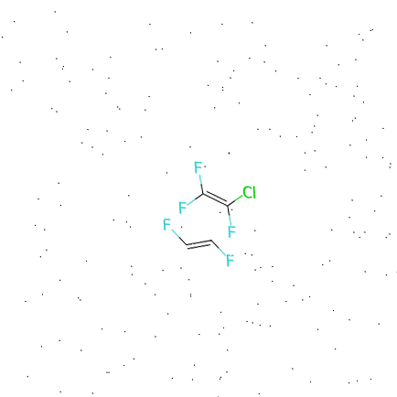 FC(F)=C(F)Cl.FC=CF